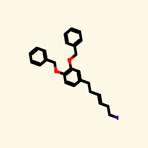 ICC/C=C/CCc1ccc(OCc2ccccc2)c(OCc2ccccc2)c1